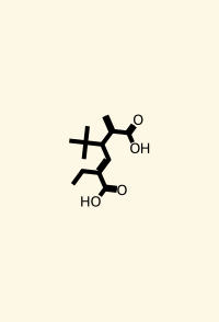 C=C(C(=O)O)C(C=C(CC)C(=O)O)C(C)(C)C